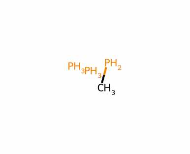 CP.P.P